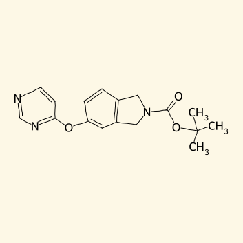 CC(C)(C)OC(=O)N1Cc2ccc(Oc3ccncn3)cc2C1